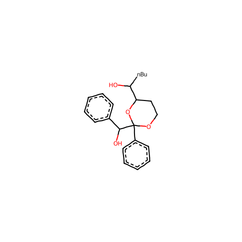 CCCCC(O)C1CCOC(c2ccccc2)(C(O)c2ccccc2)O1